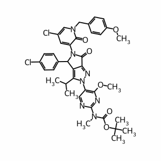 COc1ccc(Cn2cc(Cl)cc(N3C(=O)c4nn(-c5cnc(N(C)C(=O)OC(C)(C)C)nc5OC)c(C(C)C)c4C3c3ccc(Cl)cc3)c2=O)cc1